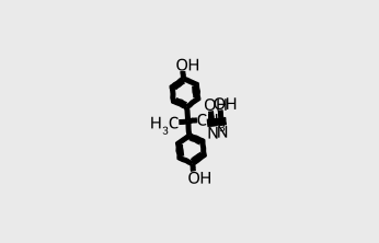 CC(C)(c1ccc(O)cc1)c1ccc(O)cc1.N#CO.N#CO